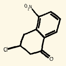 O=C1CC(Cl)Cc2c1cccc2[N+](=O)[O-]